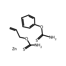 C=CCOC(N)=S.NC(=S)Oc1ccccc1.[Zn]